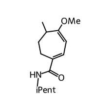 CCCC(C)NC(=O)C1=CC=C(OC)C(C)CC1